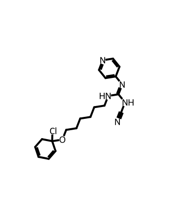 N#CN/C(=N/c1ccncc1)NCCCCCCOC1(Cl)C=CC=CC1